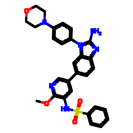 COc1ncc(-c2ccc3nc(N)n(-c4ccc(N5CCOCC5)cc4)c3c2)cc1NS(=O)(=O)c1ccccc1